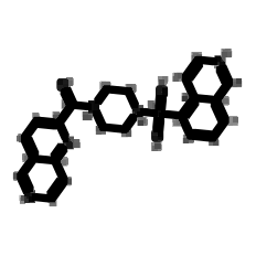 O=C(c1ccc2cnccc2n1)N1CCN(S(=O)(=O)c2cccc3cnccc23)CC1